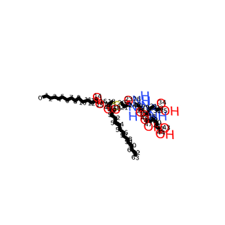 CCCCCCCCCCCCCC(=O)OC[C@H](CSCCC(=O)N[C@@H](N)C(=O)NC(CCC(=O)O)C(=O)NC(CCC(=O)O)C(=O)O)OC(=O)CCCCCCCCCCCCC